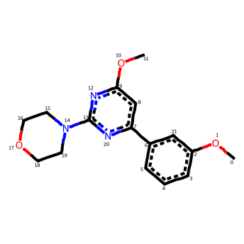 COc1cccc(-c2cc(OC)nc(N3CCOCC3)n2)c1